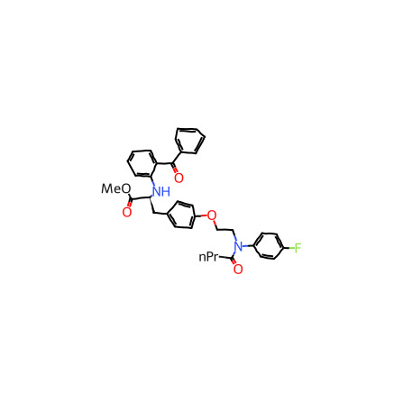 CCCC(=O)N(CCOc1ccc(C[C@H](Nc2ccccc2C(=O)c2ccccc2)C(=O)OC)cc1)c1ccc(F)cc1